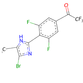 O=C(c1cc(F)c(-c2nc(Br)c(C(F)(F)F)[nH]2)c(F)c1)C(F)(F)F